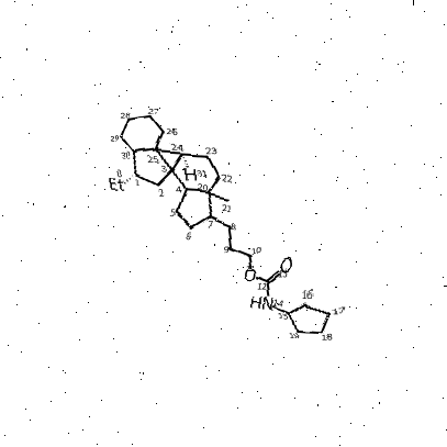 CC[C@H]1CC23C4CCC(CCCOC(=O)NC5CCCC5)C4(C)CC[C@@H]2C32CCCCC12